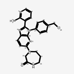 Nc1ncccc1-c1nc2ccc(N3CCCNC(=O)C3)nc2n1-c1ccc(CCl)cc1